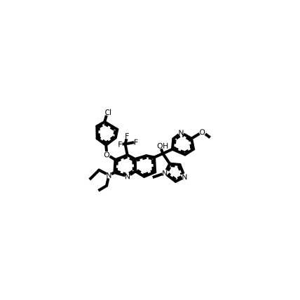 CCN(CC)c1nc2ccc(C(O)(c3ccc(OC)nc3)c3cncn3C)cc2c(C(F)(F)F)c1Oc1ccc(Cl)cc1